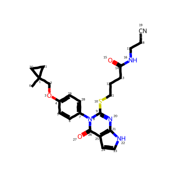 CC1(COc2ccc(-n3c(SCCCC(=O)NCCC#N)nc4[nH]ccc4c3=O)cc2)CC1